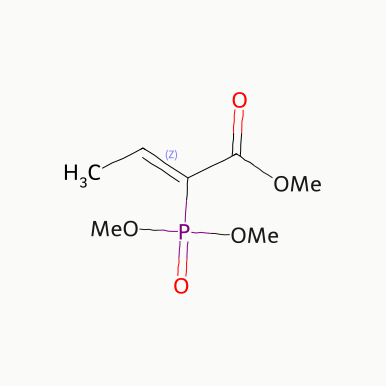 C/C=C(/C(=O)OC)P(=O)(OC)OC